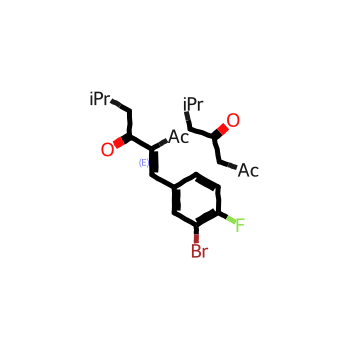 CC(=O)/C(=C\c1ccc(F)c(Br)c1)C(=O)CC(C)C.CC(=O)CC(=O)CC(C)C